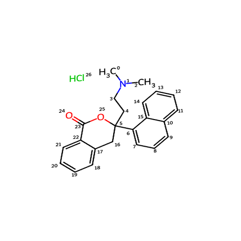 CN(C)CCC1(c2cccc3ccccc23)Cc2ccccc2C(=O)O1.Cl